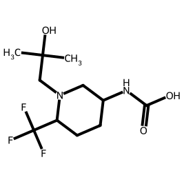 CC(C)(O)CN1CC(NC(=O)O)CCC1C(F)(F)F